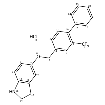 Cl.FC(F)(F)c1cc(COc2ccc3c(c2)CCN3)ccc1-c1ccccc1